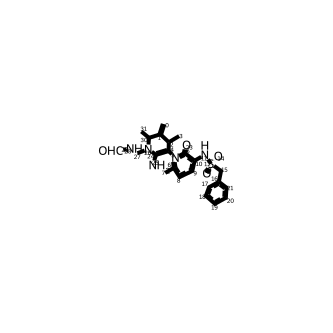 C=C1C(C)C(n2c(C)ccc(NS(=O)(=O)Cc3ccccc3)c2=O)=C(N)N(CNC=O)C1C